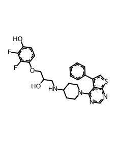 Oc1ccc(OCC(O)CNC2CCN(c3ncnc4scc(-c5ccccc5)c34)CC2)c(F)c1F